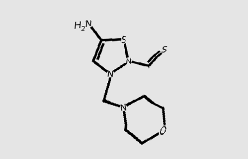 NC1=CN(CN2CCOCC2)N([C]=S)S1